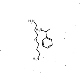 CC(N)c1ccccc1.NCCCOCCCN